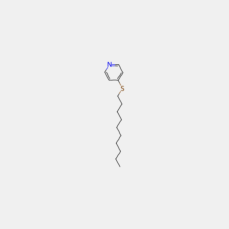 CCCCCCCCCCSc1ccncc1